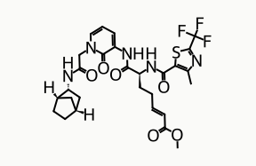 COC(=O)/C=C/CC[C@H](NC(=O)c1sc(C(F)(F)F)nc1C)C(=O)Nc1cccn(CC(=O)N[C@@H]2C[C@@H]3CC[C@H]2C3)c1=O